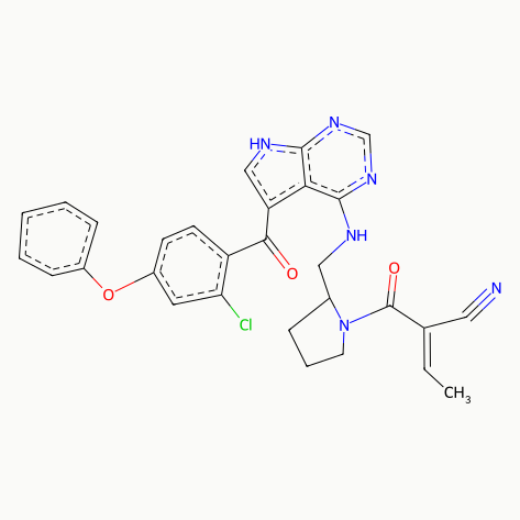 C/C=C(\C#N)C(=O)N1CCCC1CNc1ncnc2[nH]cc(C(=O)c3ccc(Oc4ccccc4)cc3Cl)c12